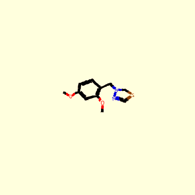 COc1ccc(CN2CSC=N2)c(OC)c1